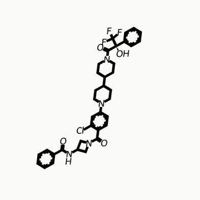 O=C(NC1CN(C(=O)c2ccc(N3CCC(C4CCN(C(=O)[C@](O)(c5ccccc5)C(F)(F)F)CC4)CC3)cc2Cl)C1)c1ccccc1